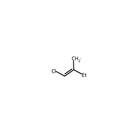 [CH2]C(=CCl)CC